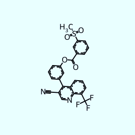 CS(=O)(=O)c1cccc(C(=O)Oc2cccc(-c3c(C#N)cnc4c(C(F)(F)F)cccc34)c2)c1